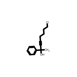 CC(O)(C#CCCCCCl)c1ccccc1